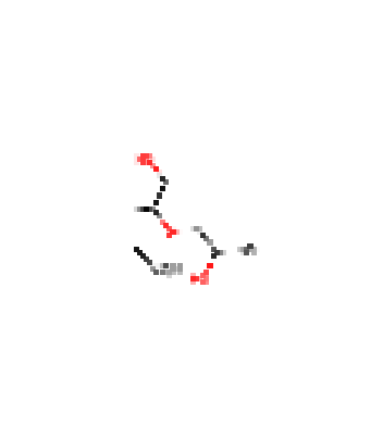 CC(=O)O.CCCC(O)COC(C)CO